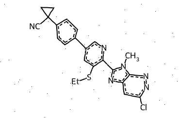 CCSc1cc(-c2ccc(C3(C#N)CC3)cc2)cnc1-c1nc2cc(Cl)nnc2n1C